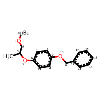 CCCCOCC(C)Oc1ccc(OCc2ccccc2)cc1